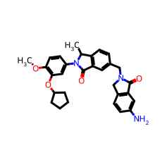 COc1ccc(N2C(=O)c3cc(CN4Cc5ccc(N)cc5C4=O)ccc3C2C)cc1OC1CCCC1